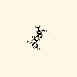 CC[C@H](Nc1ncnc2c1nc(C(F)F)n2CC)C(=O)N1CCO[C@H](C)C1